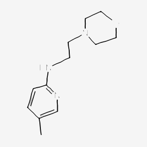 Cc1ccc(NCCN2CCOCC2)nc1